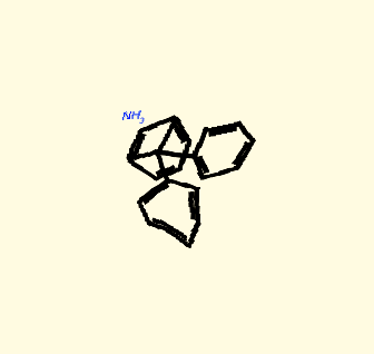 C1=CC2=CC(=C1)C2(c1ccccc1)c1ccccc1.N